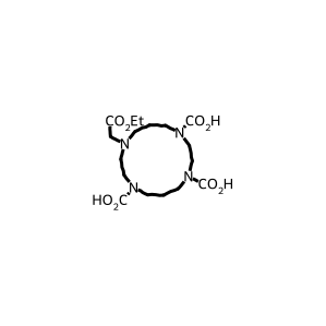 CCOC(=O)CN1CCCN(C(=O)O)CCN(C(=O)O)CCCN(C(=O)O)CC1